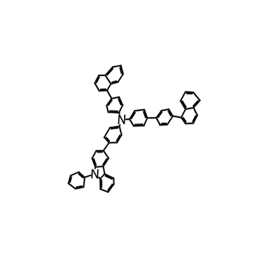 c1ccc(-n2c3ccccc3c3cc(-c4ccc(N(c5ccc(-c6ccc(-c7cccc8ccccc78)cc6)cc5)c5ccc(-c6cccc7ccccc67)cc5)cc4)ccc32)cc1